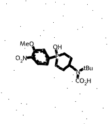 COc1cc([P]2(O)CCC(N(C(=O)O)C(C)(C)C)CC2)ccc1[N+](=O)[O-]